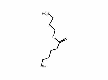 CCCCCCCCCCCCCC(=O)OCCCS(=O)(=O)O